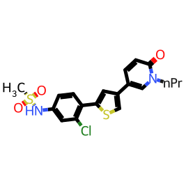 CCCn1cc(-c2csc(-c3ccc(NS(C)(=O)=O)cc3Cl)c2)ccc1=O